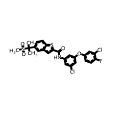 CC(C)(c1ccc2sc(C(=O)Nc3cc(Cl)cc(Oc4ccc(F)c(Cl)c4)c3)cc2c1)S(C)(=O)=O